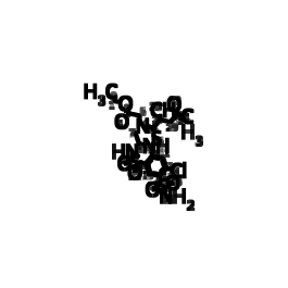 CCOC(=O)CN(CC1Nc2cc(Cl)c(S(N)(=O)=O)cc2S(=O)(=O)N1)C(=S)C(C)CC(C)=O